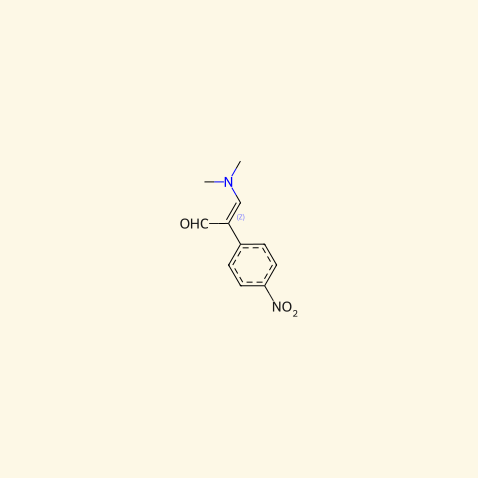 CN(C)/C=C(\C=O)c1ccc([N+](=O)[O-])cc1